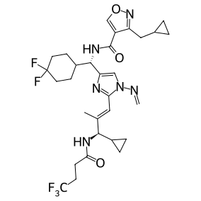 C=Nn1cc([C@@H](NC(=O)c2conc2CC2CC2)C2CCC(F)(F)CC2)nc1/C=C(\C)[C@H](NC(=O)CCC(F)(F)F)C1CC1